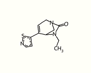 CCN1C(=O)N2CC=C(c3ccns3)C1C2